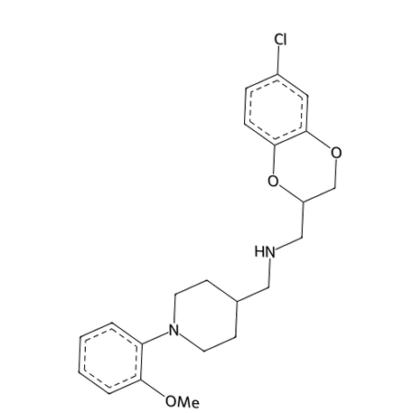 COc1ccccc1N1CCC(CNCC2COc3cc(Cl)ccc3O2)CC1